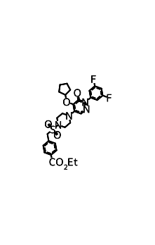 CCOC(=O)c1ccc(CS(=O)(=O)N2CCN(c3cnn(-c4cc(F)cc(F)c4)c(=O)c3OC3CCCC3)CC2)cc1